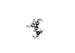 COc1cc(Nc2ncc(-c3cnc(OC)nc3)c(N3CC(C)OC(C)C3)n2)cc(C(F)(F)F)c1